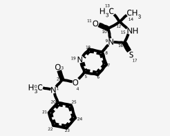 CN(C(=O)Oc1ccc(N2C(=O)C(C)(C)NC2=S)cn1)c1ccccc1